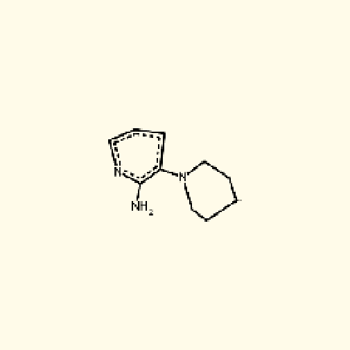 Nc1ncccc1N1CC[CH]CC1